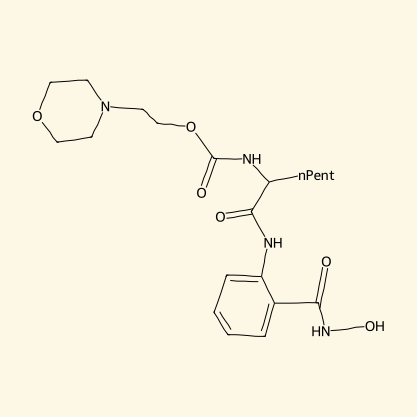 CCCCCC(NC(=O)OCCN1CCOCC1)C(=O)Nc1ccccc1C(=O)NO